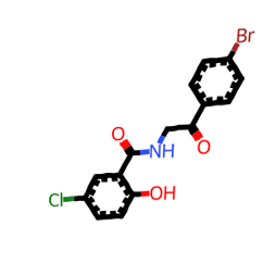 O=C(CNC(=O)c1cc(Cl)ccc1O)c1ccc(Br)cc1